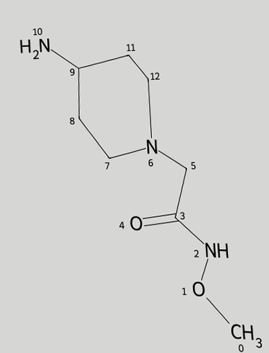 CONC(=O)CN1CCC(N)CC1